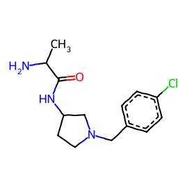 CC(N)C(=O)NC1CCN(Cc2ccc(Cl)cc2)C1